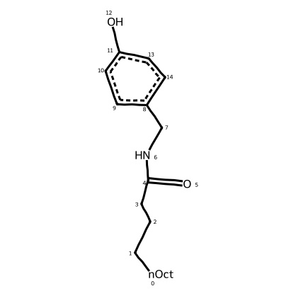 CCCCCCCCCCCC(=O)NCc1ccc(O)cc1